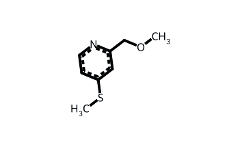 COCc1cc(SC)ccn1